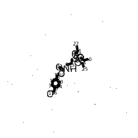 CCO[Si](CCCNC(=O)OCc1ccc(C=O)cc1)(OCC)OCC